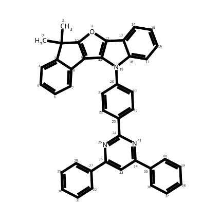 CC1(C)c2ccccc2-c2c1oc1c3ccccc3n(-c3ccc(-c4nc(-c5ccccc5)cc(-c5ccccc5)n4)cc3)c21